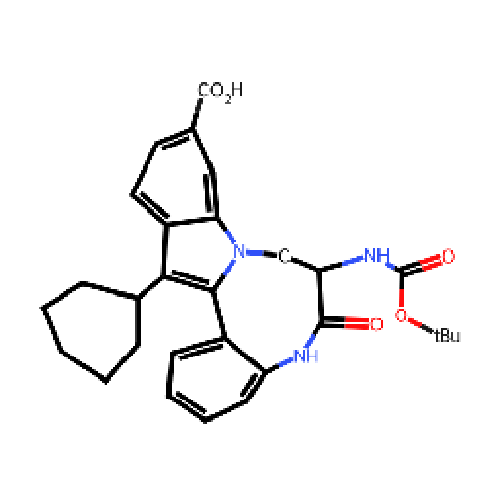 CC(C)(C)OC(=O)NC1Cn2c(c(C3CCCCC3)c3ccc(C(=O)O)cc32)-c2ccccc2NC1=O